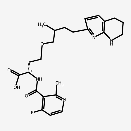 Cc1nccc(F)c1C(=O)N[C@@H](CCOCC(C)CCc1ccc2c(n1)NCCC2)C(=O)O